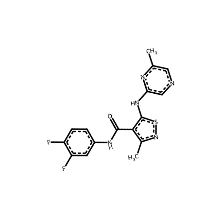 Cc1cncc(Nc2snc(C)c2C(=O)Nc2ccc(F)c(F)c2)n1